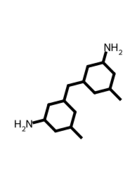 CC1CC(N)CC(CC2CC(C)CC(N)C2)C1